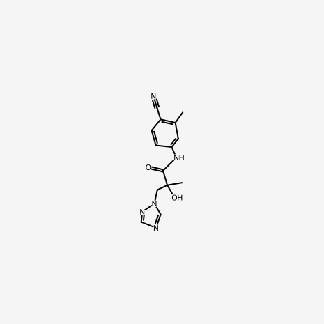 Cc1cc(NC(=O)C(C)(O)Cn2cncn2)ccc1C#N